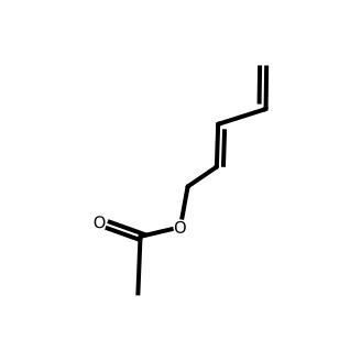 C=CC=CCOC(C)=O